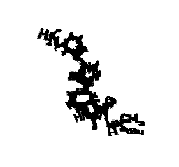 C=Cc1cccc(-n2cnc(-c3cnc4[nH]cc(C(=O)N[C@@H](C)C(C)(C)C)c4n3)c2)c1